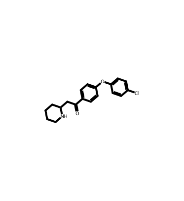 O=C(CC1CCCCN1)c1ccc(Oc2ccc(Cl)cc2)cc1